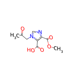 COC(=O)c1ncn(CC(C)=O)c1C(=O)O